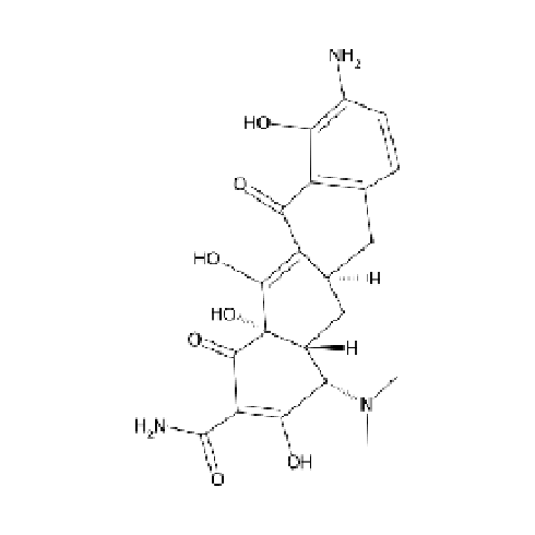 CN(C)[C@@H]1C(O)=C(C(N)=O)C(=O)[C@@]2(O)C(O)=C3C(=O)c4c(ccc(N)c4O)C[C@H]3C[C@H]12